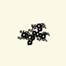 CC1C=C2C(=C(c3ccc4c(c3Nc3ccc5c(c3)C(C)(C)CCC5(C)C)OC3C=CC#CC43)C1)Bc1cc3c(cc1N2C1C#CC2=C(C1)C(C)(C)CCC2(C)C)C(C)(C)CCC3(C)C